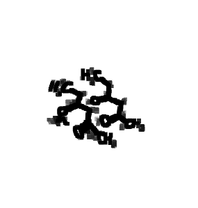 CCC(=O)CC(C)=O.CCC(=O)CC(C)=O.[Pt]